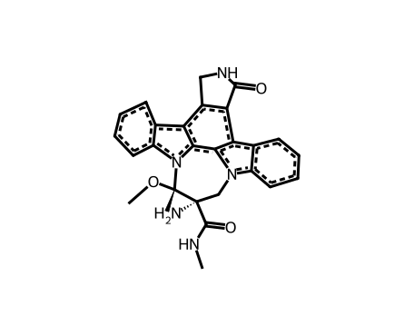 CNC(=O)[C@]1(N)Cn2c3ccccc3c3c4c(c5c6ccccc6n(c5c32)[C@@]1(C)OC)CNC4=O